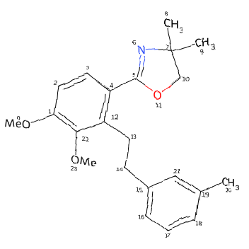 COc1ccc(C2=NC(C)(C)CO2)c(CCc2cccc(C)c2)c1OC